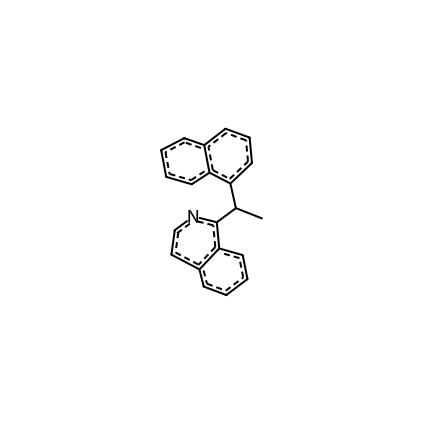 CC(c1cccc2ccccc12)c1nccc2ccccc12